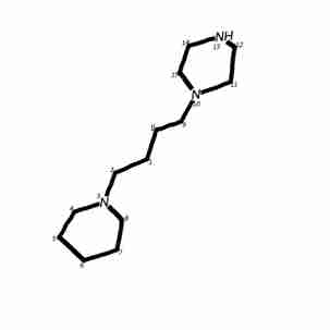 [CH](CCN1CCCCC1)CN1CCNCC1